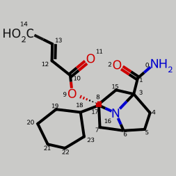 NC(=O)C12CCC(C[C@H](OC(=O)/C=C/C(=O)O)C1)N2CC1CCCCC1